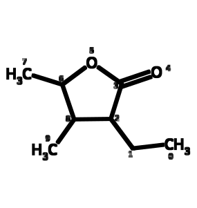 CCC1C(=O)OC(C)C1C